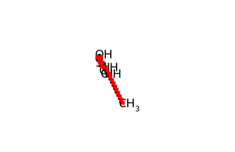 CCCCCCCCCCCCCCCCCCNC(=O)CC(=O)Nc1ccc(Sc2ccc(O)cc2)cc1